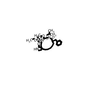 CCOP(=O)(C[C@@H]1CC2(CCCCCCC(Cc3ccccc3)C(=O)N[C@@H](CC(C)C)C(=O)N1)CCNC2=O)OCC